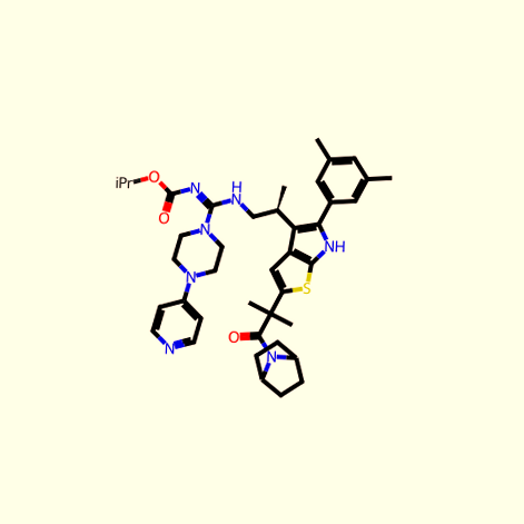 Cc1cc(C)cc(-c2[nH]c3sc(C(C)(C)C(=O)N4C5CCC4CC5)cc3c2[C@H](C)CN/C(=N/C(=O)OC(C)C)N2CCN(c3ccncc3)CC2)c1